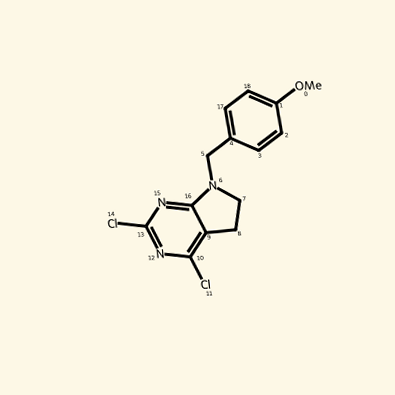 COc1ccc(CN2CCc3c(Cl)nc(Cl)nc32)cc1